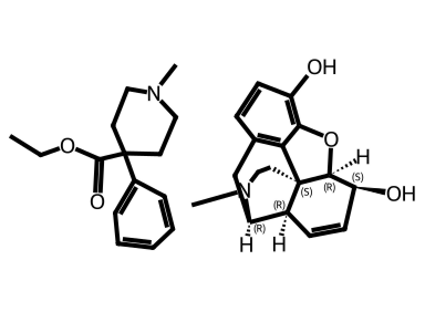 CCOC(=O)C1(c2ccccc2)CCN(C)CC1.CN1CC[C@]23c4c5ccc(O)c4O[C@H]2[C@@H](O)C=C[C@H]3[C@H]1C5